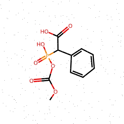 COC(=O)OP(=O)(O)C(C(=O)O)c1ccccc1